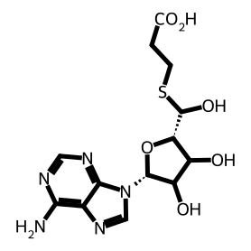 Nc1ncnc2c1ncn2[C@@H]1O[C@H](C(O)SCCC(=O)O)C(O)C1O